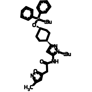 Cc1cc(CC(=O)Nc2cc([C@H]3CC[C@@H](O[Si](c4ccccc4)(c4ccccc4)C(C)(C)C)CC3)nn2C(C)(C)C)on1